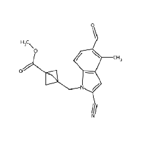 COC(=O)C12CC(Cn3c(C#N)cc4c(C)c(C=O)ccc43)(C1)C2